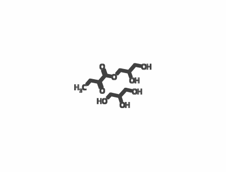 CCC(=O)C(=O)OCC(O)CO.OCC(O)CO